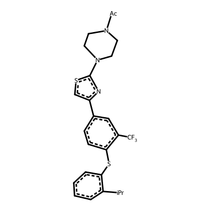 CC(=O)N1CCN(c2nc(-c3ccc(Sc4ccccc4C(C)C)c(C(F)(F)F)c3)cs2)CC1